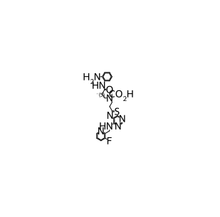 C[C@@H](CN(CCc1nc2c(NCc3ncccc3F)ncnc2s1)C(=O)O)C(=O)Nc1ccccc1N